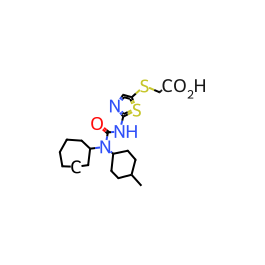 CC1CCC(N(C(=O)Nc2ncc(SCC(=O)O)s2)C2CCCCCC2)CC1